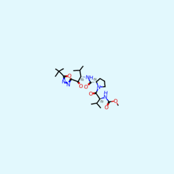 COC(=O)N[C@H](C(=O)N1CCC[C@H]1C(=O)N[C@H](C(=O)c1nnc(C(C)(C)C)o1)C(C)C)C(C)C